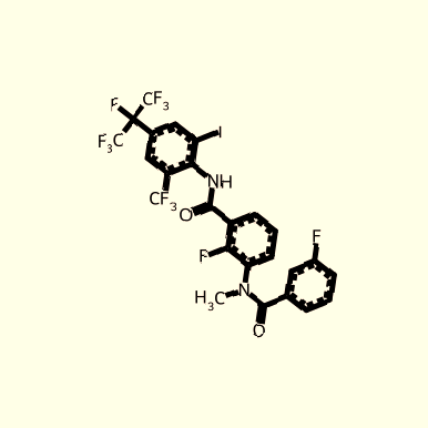 CN(C(=O)c1cccc(F)c1)c1cccc(C(=O)Nc2c(I)cc(C(F)(C(F)(F)F)C(F)(F)F)cc2C(F)(F)F)c1F